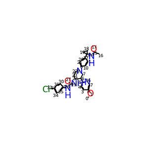 COc1ccc(C2CN(c3ccc(C4(NC(C)=O)CC4)cc3)CCC2NC(=O)Nc2ccc(Cl)cc2)nc1